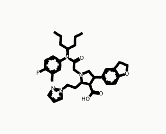 CCCC(CCC)N(C(=O)CN1CC(c2ccc3c(c2)CCO3)C(C(=O)O)C1CCn1cccn1)c1ccc(F)c(C)c1